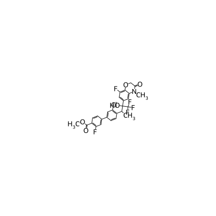 COC(=O)c1ccc(-c2ccc(C(C)C(O)(c3cc(F)c4c(c3)N(C)C(=O)CO4)C(F)(F)F)c(Cl)c2)cc1F